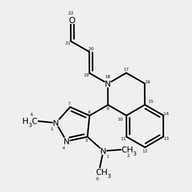 CN(C)c1nn(C)cc1C1c2ccccc2CCN1C=CC=O